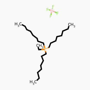 CCCCCCCC[P+](CC)(CCCCCCCC)CCCCCCCC.F[B-](F)(F)F